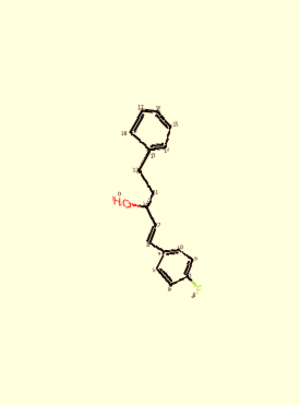 OC(/C=C/c1ccc(F)cc1)CCc1ccccc1